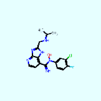 CC(C)NCc1nc2nccc(C(=N)N(O)c3ccc(F)c(Cl)c3)c2[nH]1